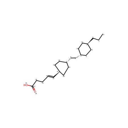 CCC[C@H]1CC[C@H](CC[C@H]2CC[C@H](C=CCCC(=O)O)CC2)CC1